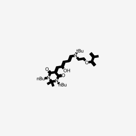 C=C(C)C(=C)OCCN(/C=C/C=C(\O)C=C1C(=O)N(CCCC)C(C)(C)N(CCCC)C1=O)C(C)(C)C